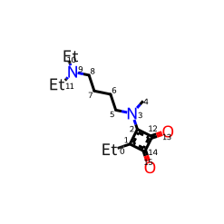 CCc1c(N(C)CCCCN(CC)CC)c(=O)c1=O